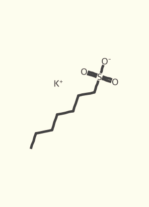 CCCCCCCS(=O)(=O)[O-].[K+]